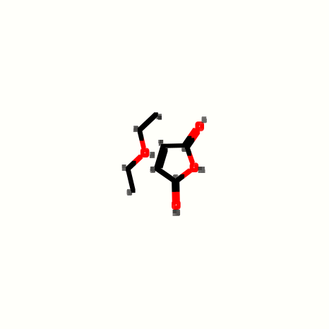 CCOCC.O=C1C=CC(=O)O1